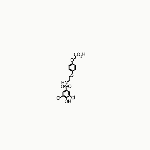 O=C(O)COc1ccc(SCCNS(=O)(=O)c2cc(Cl)c(O)c(Cl)c2)cc1